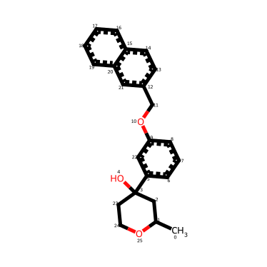 CC1CC(O)(c2cccc(OCc3ccc4ccccc4c3)c2)CCO1